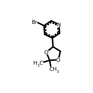 CC1(C)OCC(c2cncc(Br)c2)O1